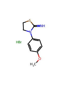 Br.COc1ccc(N2CCSC2=N)cc1